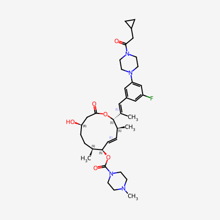 C/C(=C\c1cc(F)cc(N2CCN(C(=O)CC3CC3)CC2)c1)[C@H]1OC(=O)C[C@H](O)CC[C@H](C)[C@H](OC(=O)N2CCN(C)CC2)/C=C/[C@@H]1C